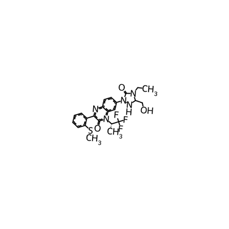 CCN1C(=O)N(c2ccc3nc(-c4ccccc4SC)c(=O)n([C@@H](C)C(F)(F)F)c3c2)NC1CO